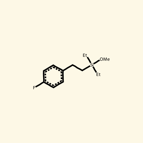 CC[Si](CC)(CCc1ccc(F)cc1)OC